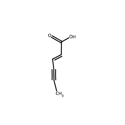 CC#C/C=C/C(=O)O